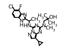 CC(Nc1nc(N(C)CC(C)(C)O)nc2c(C3CC3)cnn12)c1nc2c(F)c(Cl)ccc2[nH]1